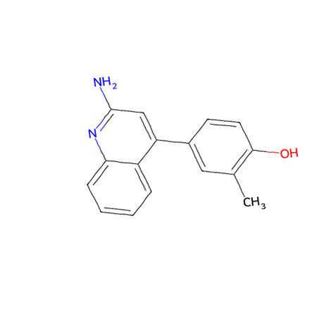 Cc1cc(-c2cc(N)nc3ccccc23)ccc1O